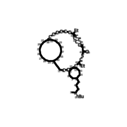 CCCC[C@H](C)CCCC1CCCC2(CCCC3CCCCCCCC(CCCCCCC3)CCCCCCC3(CC)CCCC(CCC3)C(=O)SCC(CC)C2)CCC1